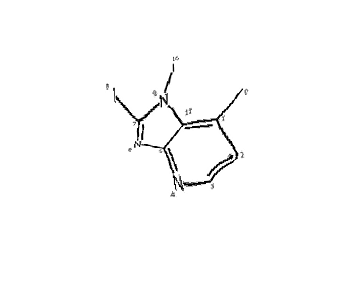 Cc1ccnc2nc(I)n(I)c12